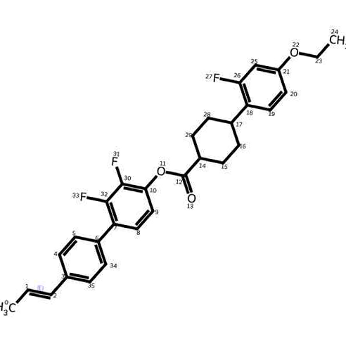 C/C=C/c1ccc(-c2ccc(OC(=O)C3CCC(c4ccc(OCC)cc4F)CC3)c(F)c2F)cc1